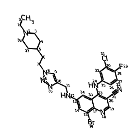 CCN1CCC(CCn2cc(CNc3cc(Br)c4ncc(C#N)c(Nc5ccc(F)c(Cl)c5)c4c3)nn2)CC1